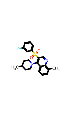 Cc1cccc2c(N3CCC(C)CC3)c(S(=O)(=O)c3cccc(F)c3)cnc12